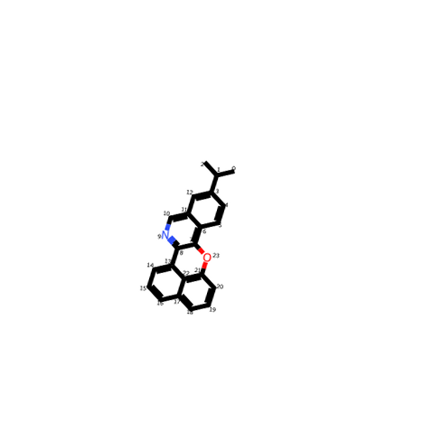 CC(C)c1ccc2c3c(ncc2c1)-c1cccc2cccc(c12)O3